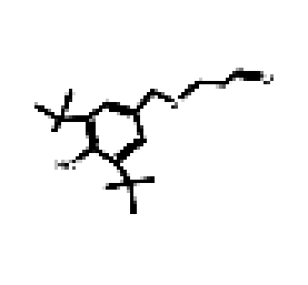 CC(C)(C)c1cc(CSCCC=O)cc(C(C)(C)C)c1O